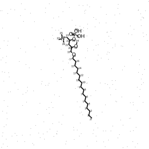 CCCCCCCCCCCCCCCCCCOCC(CC(C[N+](C)(C)C)OP(=O)(O)O)OC